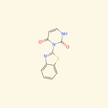 O=c1cc[nH]c(=O)n1-c1nc2ccccc2s1